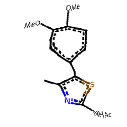 COc1ccc(-c2sc(NC(C)=O)nc2C)cc1OC